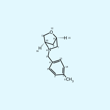 Cc1ccc(CN2C[C@H]3C[C@@H]2CO3)cc1